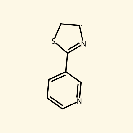 [CH]1CSC(c2cccnc2)=N1